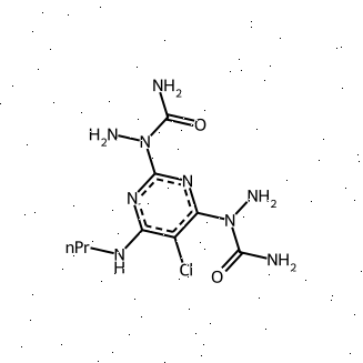 C[CH]CNc1nc(N(N)C(N)=O)nc(N(N)C(N)=O)c1Cl